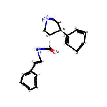 O=C(NCCc1ccccc1)[C@@H]1CNC[C@H]1c1ccccc1